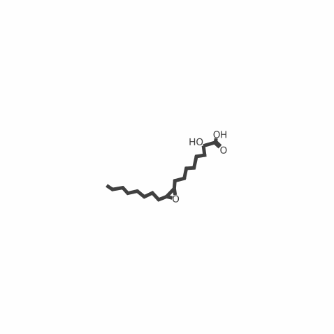 CCCCCCCCC1OC1CCCCCCC(O)C(=O)O